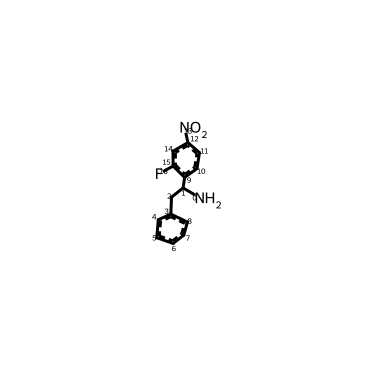 NC(Cc1ccccc1)c1ccc([N+](=O)[O-])cc1F